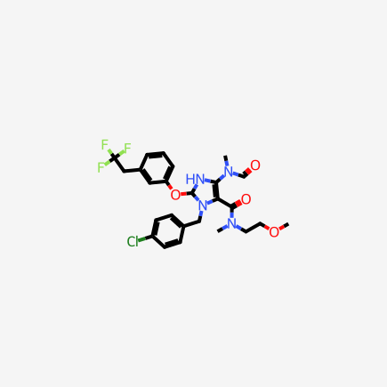 COCCN(C)C(=O)C1=C(N(C)C=O)NC(Oc2cccc(CC(F)(F)F)c2)N1Cc1ccc(Cl)cc1